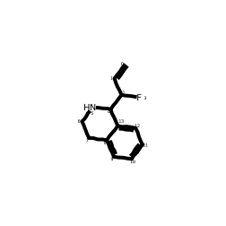 C=CC(F)C1NCCc2ccccc21